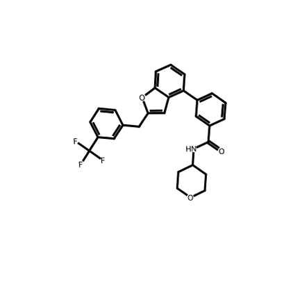 O=C(NC1CCOCC1)c1cccc(-c2cccc3oc(Cc4cccc(C(F)(F)F)c4)cc23)c1